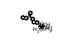 CC1(C)OB(c2ccc3c(ccc4cc(N(c5ccccc5)c5ccc6ccccc6c5)ccc43)c2)OC1(C)C